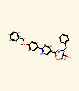 COC(=O)C(Cc1ccccc1)NC(=O)c1ccc(-c2ccc(OCc3ccccc3)cc2)nc1